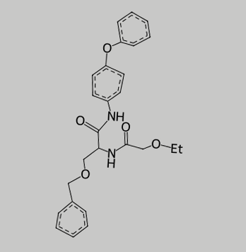 CCOCC(=O)NC(COCc1ccccc1)C(=O)Nc1ccc(Oc2ccccc2)cc1